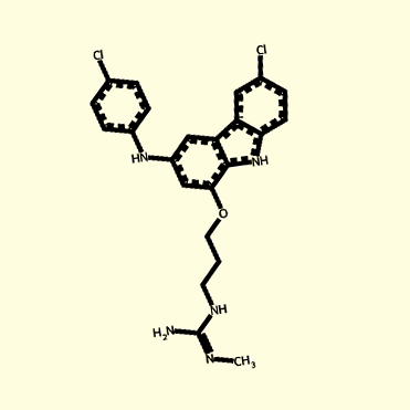 C/N=C(/N)NCCCOc1cc(Nc2ccc(Cl)cc2)cc2c1[nH]c1ccc(Cl)cc12